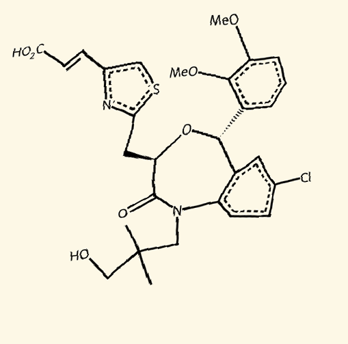 COc1cccc([C@H]2O[C@H](Cc3nc(/C=C/C(=O)O)cs3)C(=O)N(CC(C)(C)CO)c3ccc(Cl)cc32)c1OC